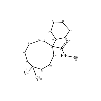 CC1(C)CCCCCC(C(=O)NS)(C2CCCCC2)CCC1